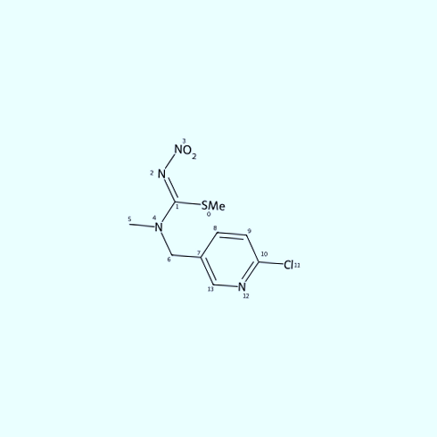 CS/C(=N\[N+](=O)[O-])N(C)Cc1ccc(Cl)nc1